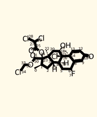 C[C@@H]1C[C@H]2[C@@H]3C[C@H](F)C4=CC(=O)C=C[C@]4(C)[C@@]3(Cl)[C@@H](O)C[C@]2(C)[C@@]1(OC(=O)C(Cl)Cl)C(=O)OCCl